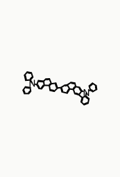 c1ccc(N(c2ccccc2)c2ccc3c(ccc4cc(-c5ccc6c(ccc7cc8c(cc76)c6ccccc6n8-c6ccccc6)c5)ccc43)c2)cc1